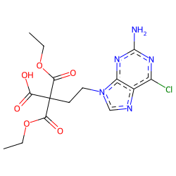 CCOC(=O)C(CCn1cnc2c(Cl)nc(N)nc21)(C(=O)O)C(=O)OCC